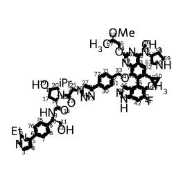 CCn1nccc1-c1ccc([C@H](CO)NC(=O)[C@@H]2C[C@@H](O)CN2C(=O)[C@H](C(C)C)n2cc(-c3ccc(COc4c(-c5c(C)c(F)cc6[nH]ncc56)c(C5CC5)cc5c(N(C)[C@H]6CCNC6)nc(OC[C@H](C)OC)nc45)cc3)nn2)cc1